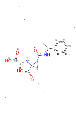 CC(NC(=O)C1CC1(NCC(=O)O)C(=O)O)c1ccccc1